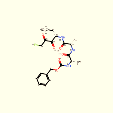 CC(C)[C@H](NC(=O)OCc1ccccc1)C(=O)N[C@@H](C)C(=O)N[C@@H](CC(=O)O)C(=O)C(=O)CF